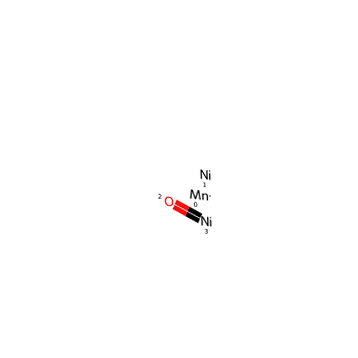 [Mn].[Ni].[O]=[Ni]